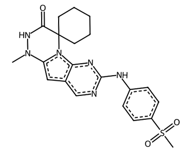 CN1NC(=O)C2(CCCCC2)n2c1cc1cnc(Nc3ccc(S(C)(=O)=O)cc3)nc12